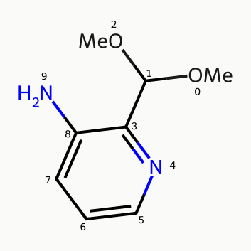 COC(OC)c1ncccc1N